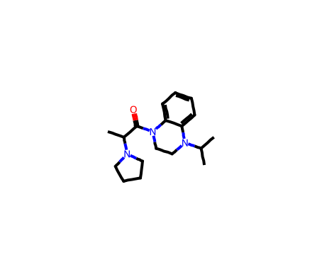 CC(C(=O)N1CCN(C(C)C)c2ccccc21)N1CCCC1